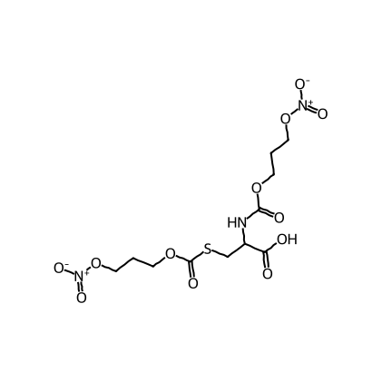 O=C(NC(CSC(=O)OCCCO[N+](=O)[O-])C(=O)O)OCCCO[N+](=O)[O-]